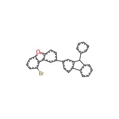 Brc1cccc2oc3ccc(-c4ccc5c(c4)C(c4ccccc4)c4ccccc4-5)cc3c12